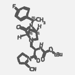 C[C@@H](c1ccc(F)cc1)N1C(=O)[C@@H]2C[C@H]1CN2CC(NC(=O)OC(C)(C)C)C(=O)N1CCCC1C#N